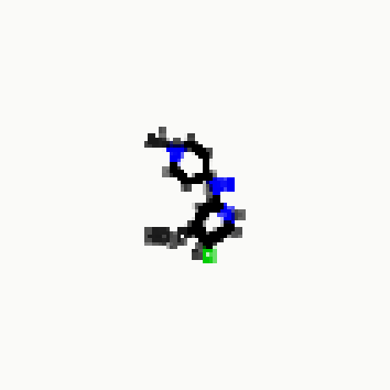 CC(=O)N1CCC(Nc2cc(C(=O)O)c(Cl)cn2)CC1